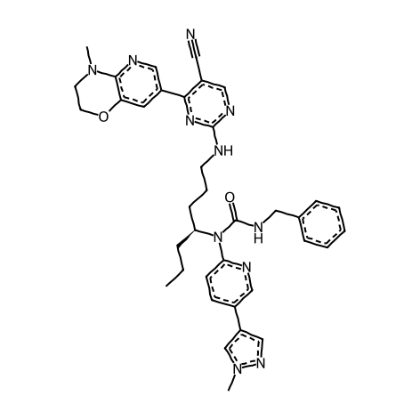 CCC[C@@H](CCCNc1ncc(C#N)c(-c2cnc3c(c2)OCCN3C)n1)N(C(=O)NCc1ccccc1)c1ccc(-c2cnn(C)c2)cn1